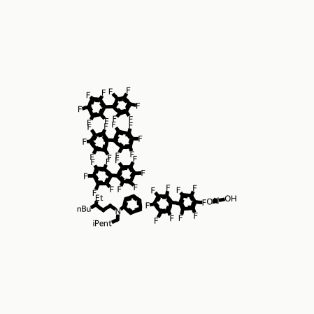 CCCCC(CC)CCN(CC(C)CCC)c1ccccc1.Fc1c(F)c(F)c(-c2c(F)c(F)c(F)c(F)c2F)c(F)c1F.Fc1c(F)c(F)c(-c2c(F)c(F)c(F)c(F)c2F)c(F)c1F.Fc1c(F)c(F)c(-c2c(F)c(F)c(F)c(F)c2F)c(F)c1F.Fc1c(F)c(F)c(-c2c(F)c(F)c(F)c(F)c2F)c(F)c1F.[O]=[Al][OH]